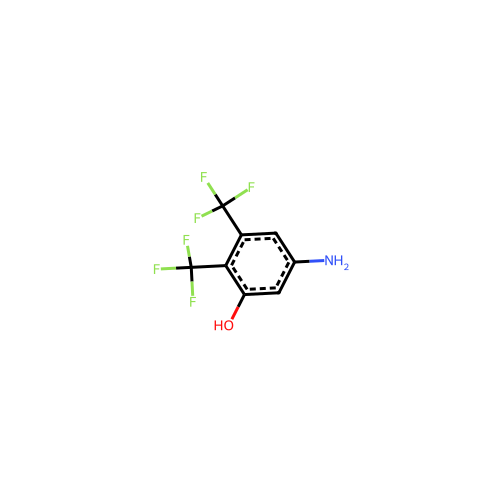 Nc1cc(O)c(C(F)(F)F)c(C(F)(F)F)c1